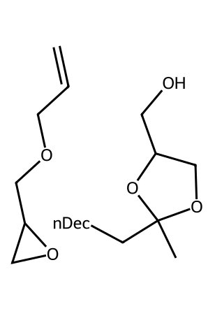 C=CCOCC1CO1.CCCCCCCCCCCC1(C)OCC(CO)O1